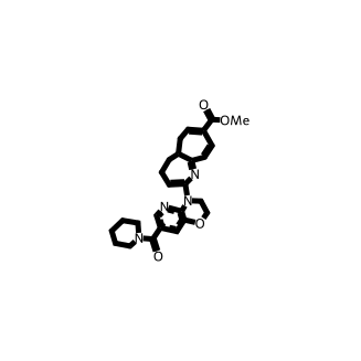 COC(=O)C1=CCC2CCC=C(N3CCOc4cc(C(=O)N5CCCCC5)cnc43)N=C2C=C1